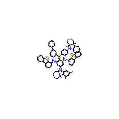 Cc1cc(C)c2c(c1)N(c1cc3c4c(c1)N(c1cccc5c1sc1ccccc15)c1cc(N5c6ccccc6C6(C)CCCCC56C)ccc1B4c1cc(-c4ccccc4)ccc1N3c1cccc3c1sc1ccccc13)C1(C)CCCCC21C